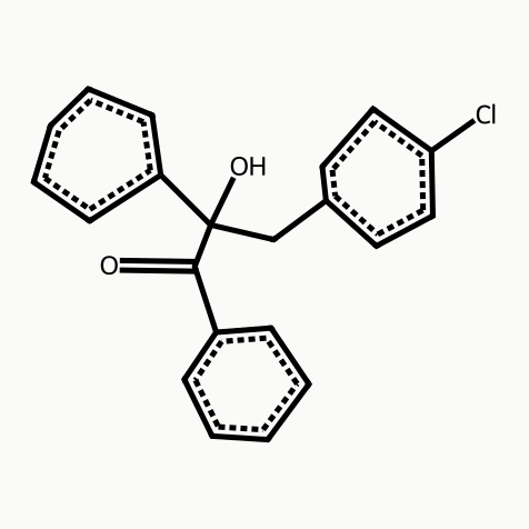 O=C(c1ccccc1)C(O)(Cc1ccc(Cl)cc1)c1ccccc1